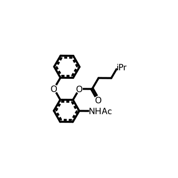 CC(=O)Nc1cccc(Oc2ccccc2)c1OC(=O)CCC(C)C